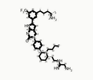 C[C@H](N)CCCc1cc(-c2cc3cn(-c4ccc([C@@H]5CCC[C@@H](CCNC(=N)CN)N5CCCF)cc4)c(=O)nc3[nH]2)cc(C(F)(F)F)c1